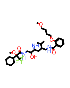 COCCCCOc1ccccc1C(=O)NCC(CC(N)C(O)CNC(=O)C(OC)(C1CCCCC1)C(F)(F)F)C(C)C